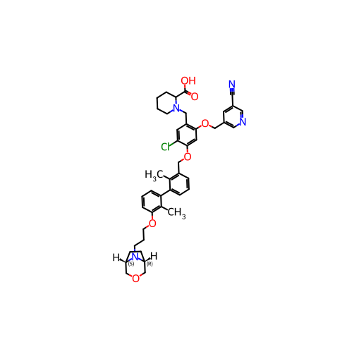 Cc1c(COc2cc(OCc3cncc(C#N)c3)c(CN3CCCCC3C(=O)O)cc2Cl)cccc1-c1cccc(OCCCN2[C@@H]3CC[C@H]2COC3)c1C